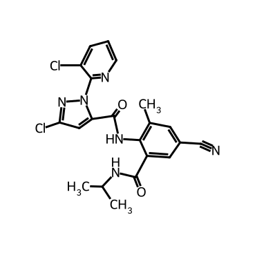 Cc1cc(C#N)cc(C(=O)NC(C)C)c1NC(=O)c1cc(Cl)nn1-c1ncccc1Cl